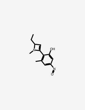 CCC1C=C(c2c(C)cc(N=O)cc2O)N1C